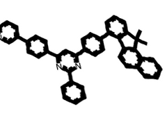 CC1(C)c2cccc(-c3ccc(-c4cc(-c5ccc(-c6cccnc6)cc5)nc(-c5ccccc5)n4)cc3)c2-c2ccc3ccccc3c21